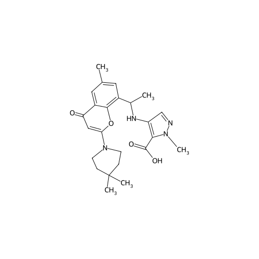 Cc1cc(C(C)Nc2cnn(C)c2C(=O)O)c2oc(N3CCC(C)(C)CC3)cc(=O)c2c1